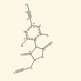 C#CCC1CC(=O)C(c2c(C)cc(C#CC)cc2C)C1=C